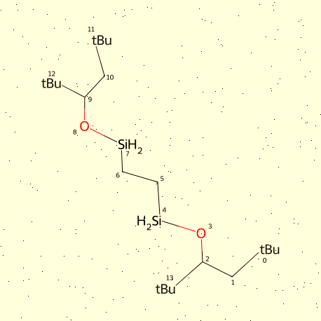 CC(C)(C)CC(O[SiH2]CC[SiH2]OC(CC(C)(C)C)C(C)(C)C)C(C)(C)C